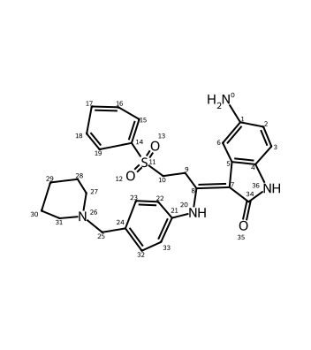 Nc1ccc2c(c1)/C(=C(\CCS(=O)(=O)c1ccccc1)Nc1ccc(CN3CCCCC3)cc1)C(=O)N2